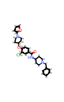 O=C(NC1CCN(Cc2ccccc2)CC1)c1ccc(OC2CCN(c3ccco3)CC2)c(Cl)c1